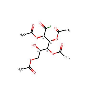 CC(=O)OC[C@@H](O)[C@H](OC(C)=O)[C@H](OC(C)=O)[C@@H](OC(C)=O)C(=O)F